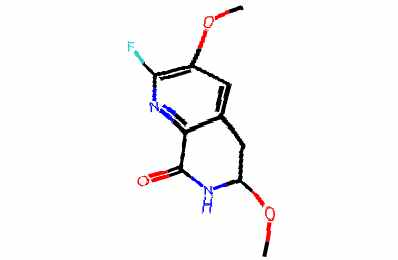 COc1cc2c(nc1F)C(=O)NC(OC)C2